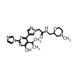 CC(C)c1c(O)nc(-n2ccnc2)nc1-c1cnn(CC(=O)NCC2CN(C)CCO2)c1